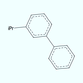 CC(C)c1cccc(-c2ccccc2)c1